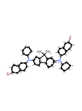 CC1(C)c2cc(N(c3ccccc3)c3ccc4cc(Br)ccc4c3)ccc2-c2ccc(N(c3ccccc3)c3ccc4cc(Br)ccc4c3)cc21